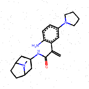 C=C(C(=O)NC1CC2CCC(C1)N2C)c1cc(N2CCCC2)ccc1N